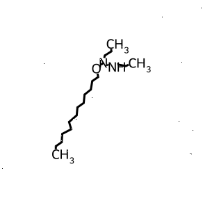 CCCCCCCCCCCCCON(CCC)NCCC